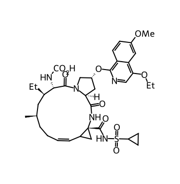 CCOc1cnc(O[C@@H]2C[C@H]3C(=O)N[C@]4(C(=O)NS(=O)(=O)C5CC5)CC4/C=C\CC[C@@H](C)C[C@@H](CC)[C@H](NC(=O)O)C(=O)N3C2)c2ccc(OC)cc12